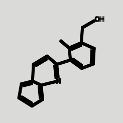 Cc1c(CO)cccc1-c1ccc2ccccc2n1